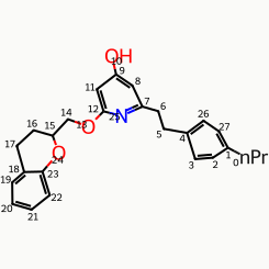 CCCc1ccc(CCc2cc(O)cc(OCC3CCc4ccccc4O3)n2)cc1